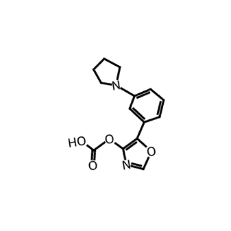 O=C(O)Oc1ncoc1-c1cccc(N2CCCC2)c1